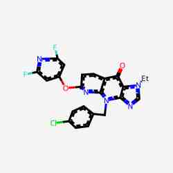 CCn1cnc2c1c(=O)c1ccc(Oc3cc(F)nc(F)c3)nc1n2Cc1ccc(Cl)cc1